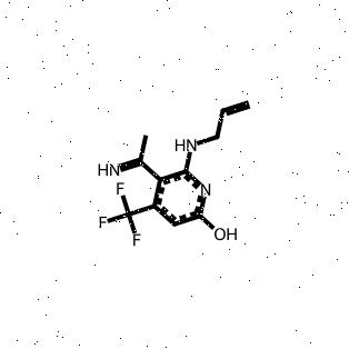 C=CCNc1nc(O)cc(C(F)(F)F)c1C(C)=N